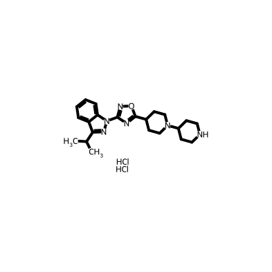 CC(C)c1nn(-c2noc(C3CCN(C4CCNCC4)CC3)n2)c2ccccc12.Cl.Cl